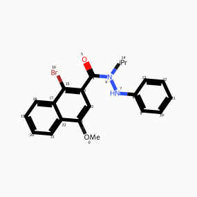 COc1cc(C(=O)N(Nc2ccccc2)C(C)C)c(Br)c2ccccc12